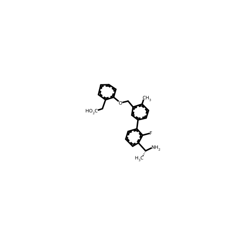 Cc1ccc(-c2cccc([C@@H](C)N)c2F)cc1COc1ccccc1CC(=O)O